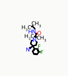 CC(C)CNC(=O)C(C)(C)N1CCC(C#N)(c2cccc(F)c2F)CC1